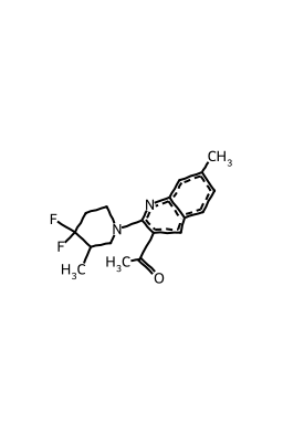 CC(=O)c1cc2ccc(C)cc2nc1N1CCC(F)(F)C(C)C1